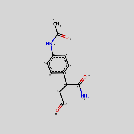 CC(=O)Nc1ccc(C(CC=O)C(N)=O)cc1